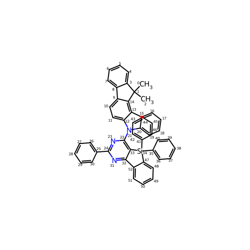 CC1(C)c2ccccc2-c2ccc3c(c21)c1ccccc1n3-c1nc(-c2ccccc2)nc2c1[Si](c1ccccc1)(c1ccccc1)c1ccccc1-2